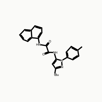 Cc1ccc(-n2nc(C(C)(C)C)cc2NC(=O)C(=O)Nc2cccc3ccccc23)cc1